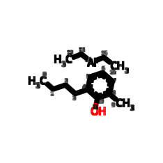 CCCCc1cccc(C)c1O.C[CH2][Al][CH2]C